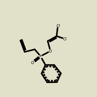 C=CCP(=O)(OC=C(Cl)Cl)c1ccccc1